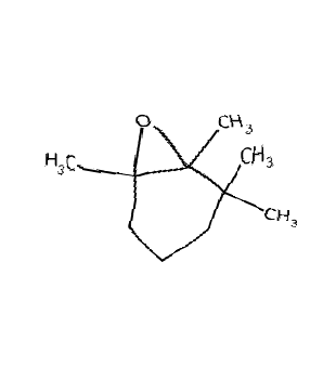 CC1(C)CCCC2(C)OC12C